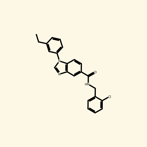 CCc1cccc(-n2cnc3cc(C(=O)NCc4ccccc4Cl)ccc32)c1